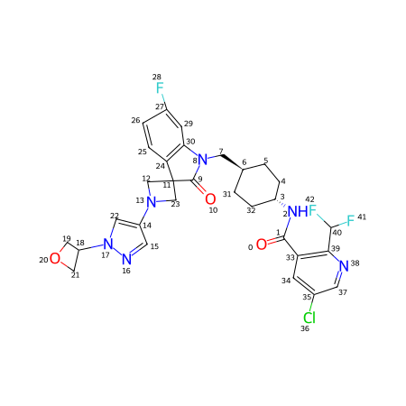 O=C(N[C@H]1CC[C@H](CN2C(=O)C3(CN(c4cnn(C5COC5)c4)C3)c3ccc(F)cc32)CC1)c1cc(Cl)cnc1C(F)F